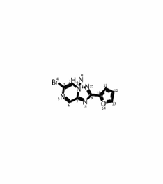 N[N+]12C=C(Br)N=CC1=NC(c1ccco1)=N2